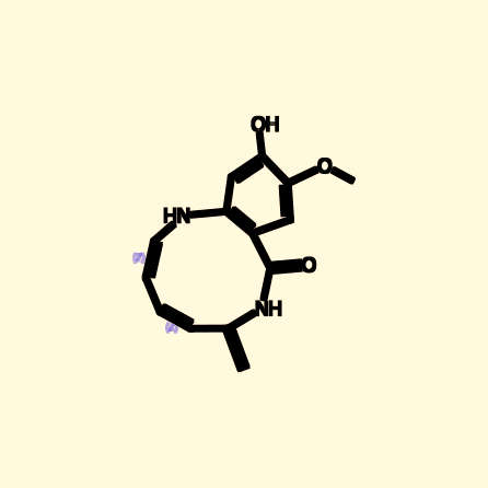 C=C1/C=C\C=C/Nc2cc(O)c(OC)cc2C(=O)N1